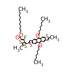 CCCCCCCCCCCCOC(=O)c1sc2c(C)sc(-c3cc4cc5c(OCCCCCCCC)c6cc7sc(C)cc7cc6c(OCCCCCCCC)c5cc4s3)c2c1F